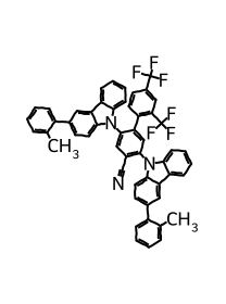 Cc1ccccc1-c1ccc2c(c1)c1ccccc1n2-c1cc(-c2ccc(C(F)(F)F)cc2C(F)(F)F)c(-n2c3ccccc3c3cc(-c4ccccc4C)ccc32)cc1C#N